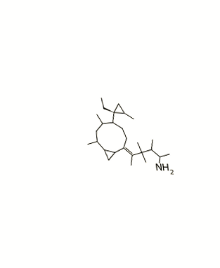 CC[C@@]1(C2CC/C(=C(/C)C(C)(C)C(C)C(C)N)C3CC3C(C)CC2C)CC1C